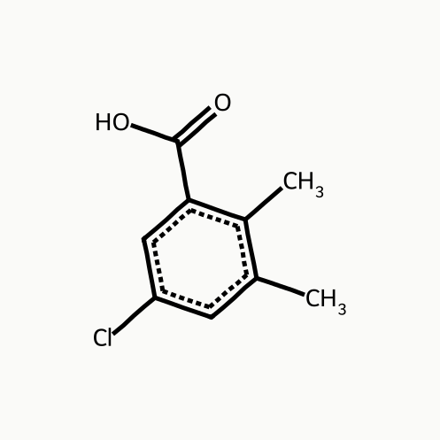 Cc1cc(Cl)cc(C(=O)O)c1C